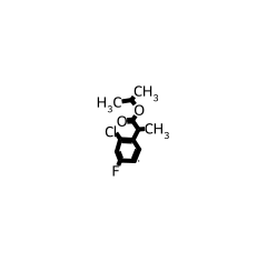 CC(C)OC(=O)C(C)c1c[c]c(F)cc1Cl